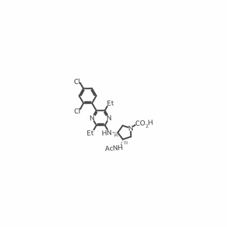 CCc1nc(-c2ccc(Cl)cc2Cl)c(CC)nc1N[C@@H]1CN(C(=O)O)C[C@@H]1NC(C)=O